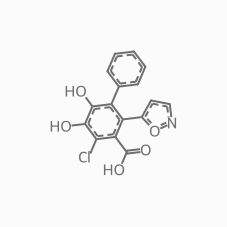 O=C(O)c1c(Cl)c(O)c(O)c(-c2ccccc2)c1-c1ccno1